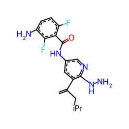 C=C(CC(C)C)c1cc(NC(=O)c2c(F)ccc(N)c2F)cnc1NN